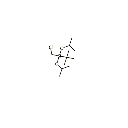 CC(C)O[Si](CCl)(OC(C)C)C(C)(C)C